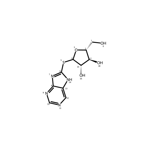 OC[C@H]1OC(Sc2nc3ncncc3[nH]2)[C@@H](O)[C@@H]1O